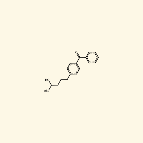 CCCCC(O)CCCc1ccc(C(=O)c2ccccc2)cc1